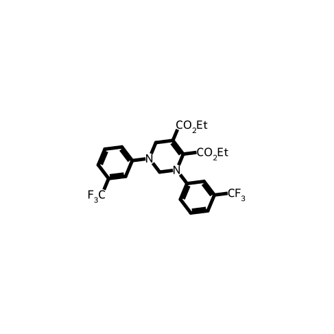 CCOC(=O)C1=C(C(=O)OCC)N(c2cccc(C(F)(F)F)c2)CN(c2cccc(C(F)(F)F)c2)C1